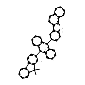 CC1(C)c2ccccc2-c2ccc(-c3c4ccccc4c(-c4ccc5sc6c7ccccc7ccc6c5c4)c4ccccc34)cc21